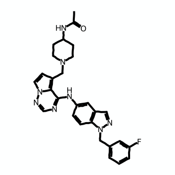 CC(=O)NC1CCN(Cc2ccn3ncnc(Nc4ccc5c(cnn5Cc5cccc(F)c5)c4)c23)CC1